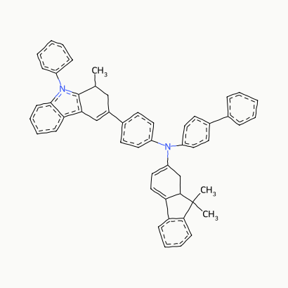 CC1CC(c2ccc(N(C3=CC=C4c5ccccc5C(C)(C)C4C3)c3ccc(-c4ccccc4)cc3)cc2)=Cc2c1n(-c1ccccc1)c1ccccc21